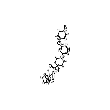 CC1(NC(=O)C2(F)CCN(c3cncc(Oc4ccc(F)cc4)n3)CC2)CCN2CCC1CC2